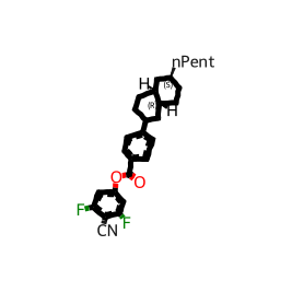 CCCCC[C@H]1CC[C@@H]2CC(c3ccc(C(=O)Oc4cc(F)c(C#N)c(F)c4)cc3)CC[C@H]2C1